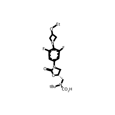 CCOC1CN(c2c(F)cc(N3C[C@H](CN(C(=O)O)C(C)(C)C)OC3=O)cc2F)C1